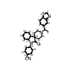 CC(c1ccc2scnc2c1)N1CCC2(CC1)C(=O)N(c1ccc(C#N)cc1)c1ccccc12